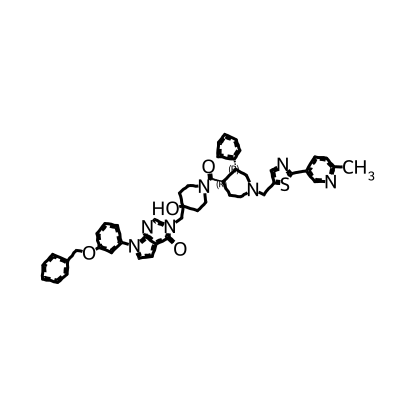 Cc1ccc(-c2ncc(CN3CC[C@@H](C(=O)N4CCC(O)(Cn5cnc6c(ccn6-c6cccc(OCc7ccccc7)c6)c5=O)CC4)[C@H](c4ccccc4)C3)s2)cn1